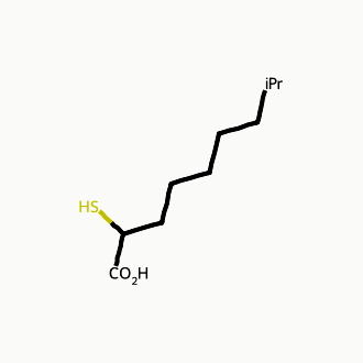 CC(C)CCCCCC(S)C(=O)O